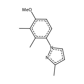 COc1ccc(-n2ccc(C)n2)c(C)c1C